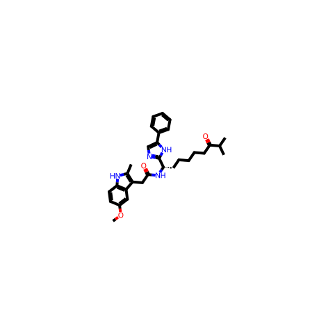 COc1ccc2[nH]c(C)c(CC(=O)N[C@@H](CCCCCC(=O)C(C)C)c3ncc(-c4ccccc4)[nH]3)c2c1